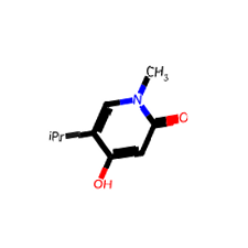 CC(C)c1cn(C)c(=O)cc1O